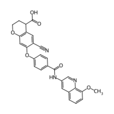 COc1cccc2cc(NC(=O)c3ccc(Oc4cc5c(cc4C#N)C(C(=O)O)CCO5)cc3)cnc12